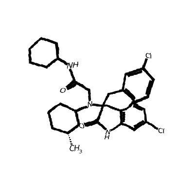 C[C@@H]1CCCC(N(CC(=O)NC2CCCCC2)C2(Cc3cccc(Cl)c3)C(=O)Nc3cc(Cl)ccc32)C1